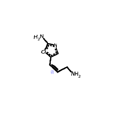 NC/C=C\c1cnc(N)o1